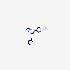 Bc1cnn2c(NCc3cccnc3)cc(C3CCN(S(=O)(=O)N(C)C)CC3)nc12